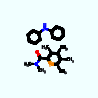 Cc1pc(C(=O)N(C)C)c(C)c(C)c1C.c1ccc(Nc2ccccc2)cc1